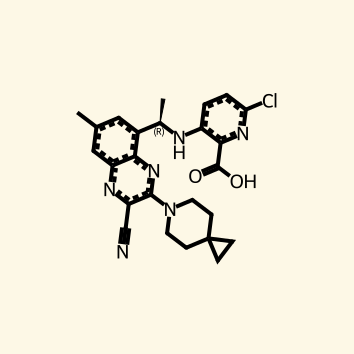 Cc1cc([C@@H](C)Nc2ccc(Cl)nc2C(=O)O)c2nc(N3CCC4(CC3)CC4)c(C#N)nc2c1